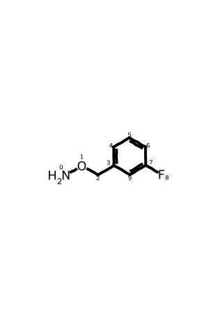 NOCc1cccc(F)c1